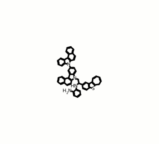 Nc1ccccc1NC(Cn1c2ccc(-n3c4ccccc4c4c5ccccc5ccc43)cc2c2c3ccccc3ccc21)c1ccc2sc3c(c2c1)C=CC=CC3